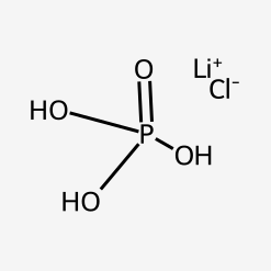 O=P(O)(O)O.[Cl-].[Li+]